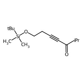 CC(C)C(=O)C#CCCO[Si](C)(C)C(C)(C)C